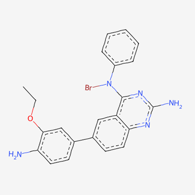 CCOc1cc(-c2ccc3nc(N)nc(N(Br)c4ccccc4)c3c2)ccc1N